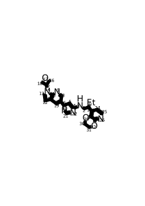 CCC(CNc1cc(-c2cnc3c(ccn3C3COC3)c2)ncn1)c1ccnc2c1OCCO2